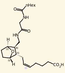 CCCCCCC(=O)NCC(=O)NC[C@H]1[C@H](C/C=C\CCCC(=O)O)[C@@H]2CC[C@@H]1O2